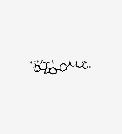 Cc1cc(-c2[nH]c3ccc(C4CCN(C(=O)CNCC(O)CO)CC4)cc3c2C(C)C)ccn1